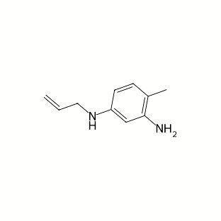 C=CCNc1ccc(C)c(N)c1